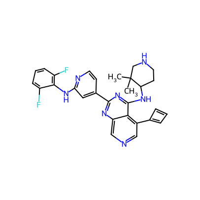 CC1(C)CNCCC1Nc1nc(-c2ccnc(Nc3c(F)cccc3F)c2)nc2cncc(C3=CC=C3)c12